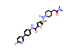 CN(C)C(=O)CC1CCN(N(F)S2(C)c3cc(C(=O)Nc4ccc(-c5ccc(F)nc5)cc4)sc32)CC1